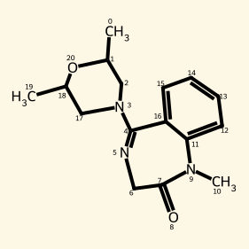 CC1CN(C2=NCC(=O)N(C)c3ccccc32)CC(C)O1